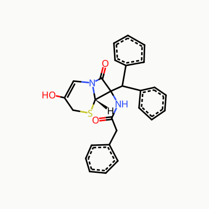 O=C(Cc1ccccc1)NC1(C(c2ccccc2)c2ccccc2)C(=O)N2C=C(O)CS[C@H]21